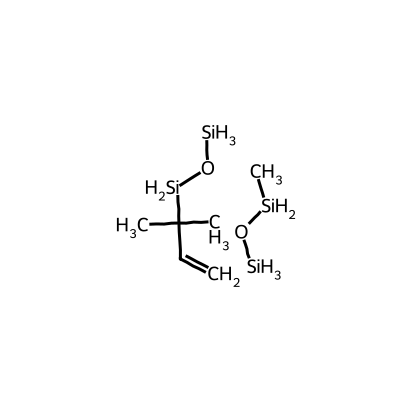 C=CC(C)(C)[SiH2]O[SiH3].C[SiH2]O[SiH3]